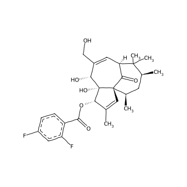 CC1=C[C@]23C(=O)[C@@H](C=C(CO)[C@@H](O)[C@]2(O)[C@H]1OC(=O)c1ccc(F)cc1F)C(C)(C)[C@@H](C)C[C@H]3C